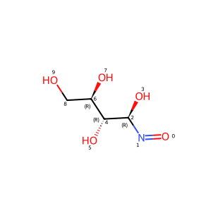 O=N[C@H](O)[C@H](O)[C@H](O)CO